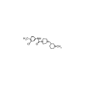 Cc1ccc(NC(=O)N2CCN(CC3CCCN(C)C3)CC2)cc1Cl